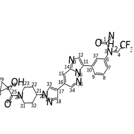 NC(=O)N(CC(F)(F)F)c1cccc(-c2cnc3cc(-c4cnn(C5CCN(C(=O)C6(O)CC6)CC5)c4)cnn23)c1